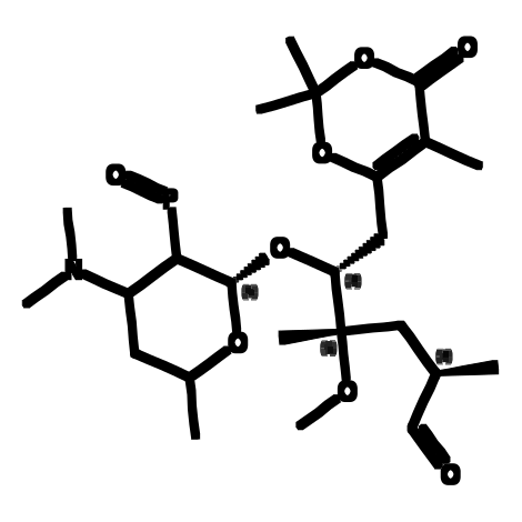 CO[C@@](C)(C[C@@H](C)C=O)[C@@H](CC1=C(C)C(=O)OC(C)(C)O1)O[C@@H]1OC(C)CC(N(C)C)C1P=O